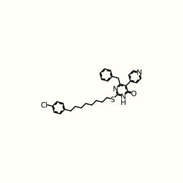 O=c1[nH]c(SCCCCCCCCc2ccc(Cl)cc2)nc(Cc2ccccc2)c1-c1ccncc1